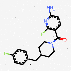 Nc1ccc(C(=O)N2CCC(Cc3ccc(F)cc3)CC2)c(F)n1